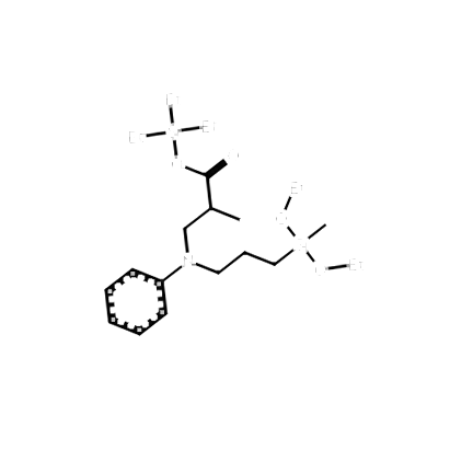 CCO[Si](C)(CCCN(CC(C)C(=O)O[Si](CC)(CC)CC)c1ccccc1)OCC